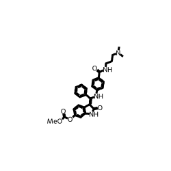 COC(=O)Oc1ccc2c(c1)NC(=O)/C2=C(\Nc1ccc(C(=O)NCCCN(C)C)cc1)c1ccccc1